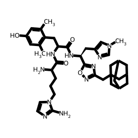 Cc1cc(O)cc(C)c1CC(NC(=O)C(N)CCCn1ccnc1N)C(=O)N[C@@H](Cc1cn(C)cn1)c1nc(CC23CC4CC(CC(C4)C2)C3)no1